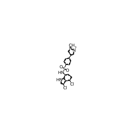 Cn1cc(-c2ccc(S(=O)(=O)Nc3ccc(Cl)c4c(Cl)c[nH]c34)cc2)cn1